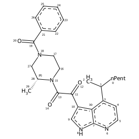 CCCCCC(C)c1ccnc2[nH]cc(C(=O)C(=O)N3CCN(C(=O)c4ccccc4)C[C@H]3C)c12